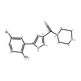 Nc1ncc(Br)cc1-c1cc(C(=O)N2CCOCC2)no1